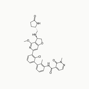 COc1nc(-c2cccc(-c3cccc(NC(=O)c4ccnn(C)c4=O)c3C)c2Cl)cc2c1[C@@H](NC[C@@H]1CCC(=O)N1)CO2